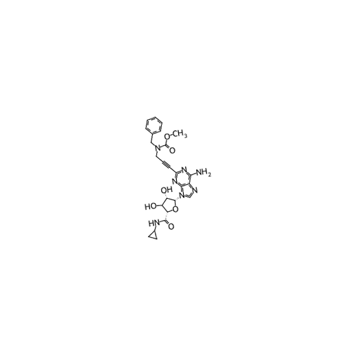 COC(=O)N(CC#Cc1nc(N)c2ncn([C@@H]3O[C@H](C(=O)NC4CC4)C(O)[C@@H]3O)c2n1)Cc1ccccc1